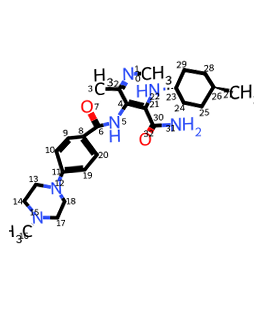 C/N=C(C)\C(NC(=O)c1ccc(N2CCN(C)CC2)cc1)=C(/N[C@H]1CC[C@H](C)CC1)C(N)=O